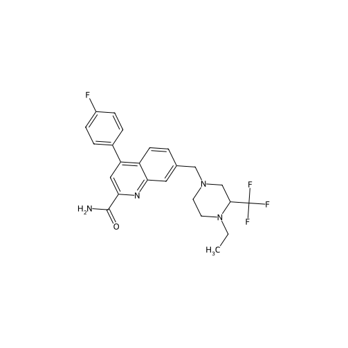 CCN1CCN(Cc2ccc3c(-c4ccc(F)cc4)cc(C(N)=O)nc3c2)CC1C(F)(F)F